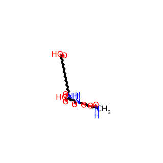 CNC(=O)COCCOCCNC(=O)CCC(NC(=O)CCCCCCCCCCCCCCCCC(=O)O)C(=O)O